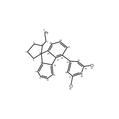 CC(C)CC1CCCC12c1ccccc1-c1c(-c3cc(Cl)nc(Cl)c3)cccc12